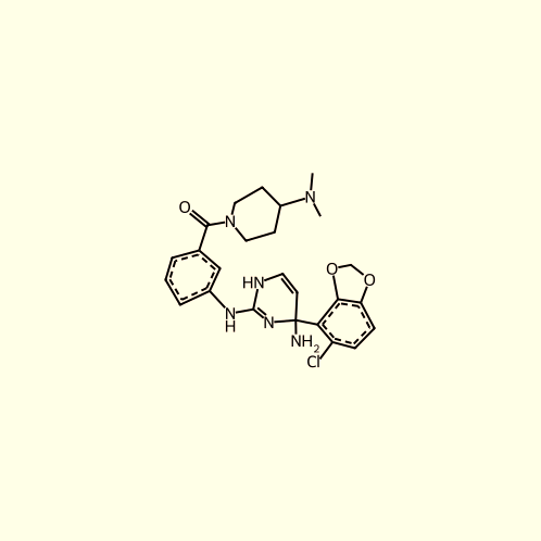 CN(C)C1CCN(C(=O)c2cccc(NC3=NC(N)(c4c(Cl)ccc5c4OCO5)C=CN3)c2)CC1